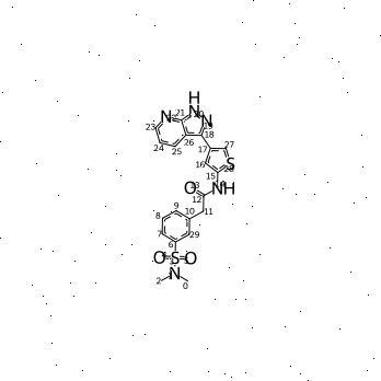 CN(C)S(=O)(=O)c1cccc(CC(=O)Nc2cc(-c3n[nH]c4ncccc34)cs2)c1